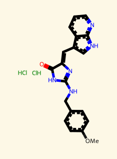 COc1ccc(CNC2=N/C(=C\c3c[nH]c4ncccc34)C(=O)N2)cc1.Cl.Cl